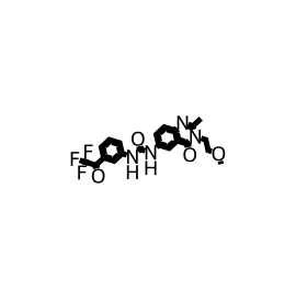 COCCn1c(C)nc2ccc(NC(=O)Nc3cccc(C(=O)C(F)(F)F)c3)cc2c1=O